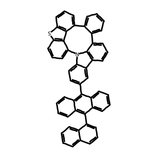 c1ccc2c(-c3c4ccccc4c(-c4ccc5c(c4)c4cccc6c7ccccc7c7cccc8sc9cccc(c9c87)n5c64)c4ccccc34)cccc2c1